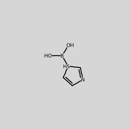 OB(O)[SH]1C=CN=C1